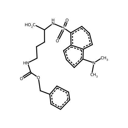 CN(C)c1cccc2c(S(=O)(=O)NC(CCCNC(=O)OCc3ccccc3)C(=O)O)cccc12